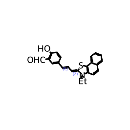 CCN1/C(=C/C=C/c2ccc(O)c(C=O)c2)Sc2c1ccc1ccccc21